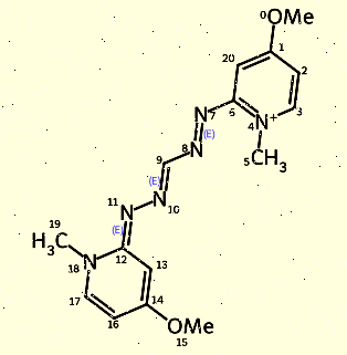 COc1cc[n+](C)c(/N=N/C=N/N=c2\cc(OC)ccn2C)c1